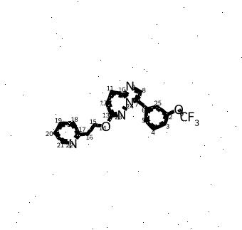 FC(F)(F)Oc1cccc(-c2cnc3ccc(OCCc4ccccn4)nn23)c1